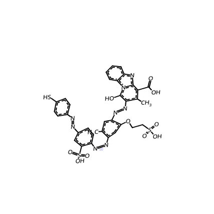 Cc1cc(N=Nc2c(C)c(C(=O)O)c3nc4ccccc4n3c2O)c(OCCS(=O)(=O)O)cc1/N=N\c1ccc(N=Nc2ccc(S)cc2)cc1S(=O)(=O)O